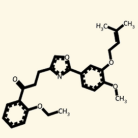 CCOc1ccccc1C(=O)CCc1coc(-c2ccc(OC)c(OCC=C(C)C)c2)n1